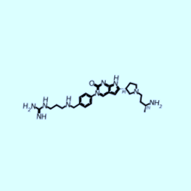 C[C@H](N)CCN1CC[C@@H](c2cc3cn(-c4ccc(CNCCCNC(=N)N)cc4)c(=O)nc3[nH]2)C1